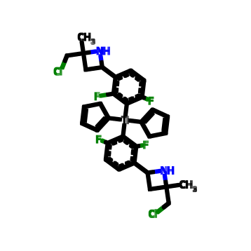 CC1(CCl)CC(c2ccc(F)[c]([Ti]([C]3=CC=CC3)([C]3=CC=CC3)[c]3c(F)ccc(C4CC(C)(CCl)N4)c3F)c2F)N1